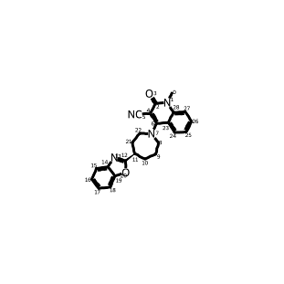 Cn1c(=O)c(C#N)c(N2CCC[C@@H](c3nc4ccccc4o3)CC2)c2ccccc21